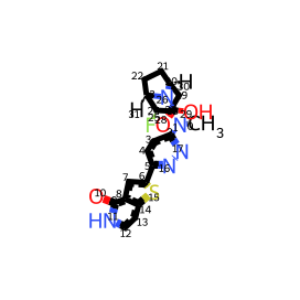 CN(c1ccc(-c2cc3c(=O)[nH]ccc3s2)nn1)[C@H]1C[C@@H]2CC[C@H]([C@H]1F)N2C(=O)O